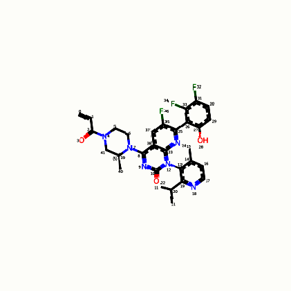 C=CC(=O)N1CCN(c2nc(=O)n(-c3c(C)ccnc3C(C)C)c3nc(-c4c(O)ccc(F)c4F)c(F)cc23)[C@@H](C)C1